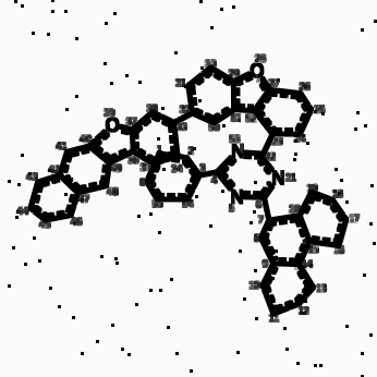 c1ccc(-c2nc(-c3cc4ccccc4c4ccccc34)nc(-c3cccc4oc5ccc(-c6ccc7c(c6)oc6cc8ccccc8cc67)cc5c34)n2)cc1